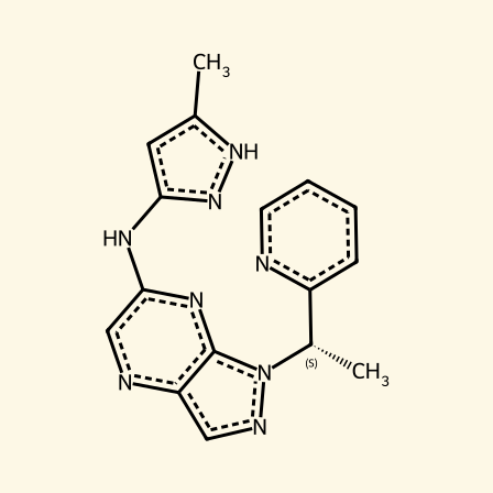 Cc1cc(Nc2cnc3cnn([C@@H](C)c4ccccn4)c3n2)n[nH]1